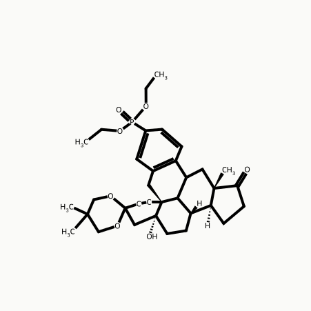 CCOP(=O)(OCC)c1ccc2c(c1)C[C@]13CCC4(C[C@]1(O)CC[C@@H]1C3C2C[C@]2(C)C(=O)CC[C@@H]12)OCC(C)(C)CO4